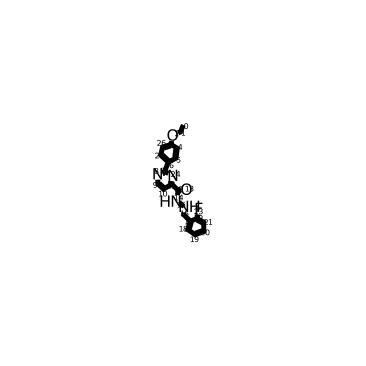 CCOc1ccc(-c2nccc(C(=O)NNCc3ccccc3F)n2)cc1